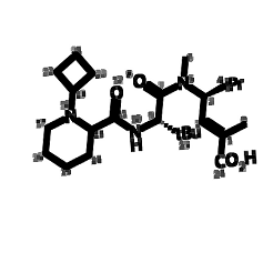 C/C(=C\[C@H](C(C)C)N(C)C(=O)[C@@H](NC(=O)C1CCCCN1C1CCC1)C(C)(C)C)C(=O)O